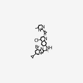 Cc1ccnc([C@H]2C[C@@H]2c2cc(Cl)c3ccc(N[C@H](C)c4cn5cc(C6CC6)cc(Br)c5n4)cc3n2)n1